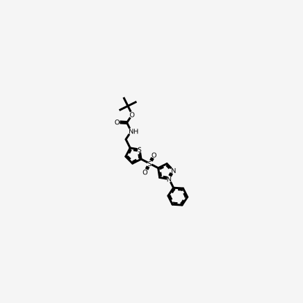 CC(C)(C)OC(=O)NCc1ccc(S(=O)(=O)c2cnn(-c3ccccc3)c2)s1